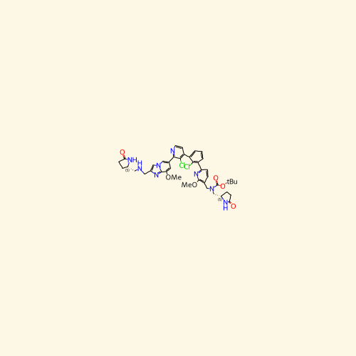 COc1nc(-c2cccc(-c3ccnc(-c4cc(OC)c5nc(CNC[C@@H]6CCC(=O)N6)cn5c4)c3Cl)c2Cl)ccc1CN(C[C@@H]1CCC(=O)N1)C(=O)OC(C)(C)C